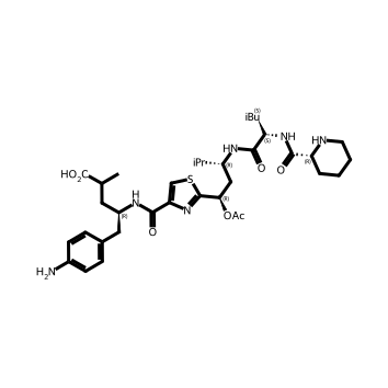 CC[C@H](C)[C@H](NC(=O)[C@H]1CCCCN1)C(=O)N[C@H](C[C@@H](OC(C)=O)c1nc(C(=O)N[C@@H](Cc2ccc(N)cc2)CC(C)C(=O)O)cs1)C(C)C